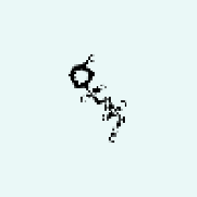 O=C=NS(=O)(=O)NCS(=O)(=O)c1cccc(Cl)c1